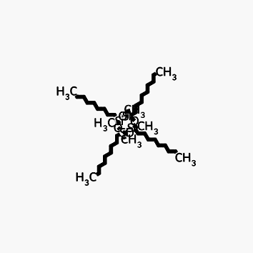 CCCCCCCCC[Si]1(C)O[Si](C)(CCCCCCCCC)O[Si](C)(CCCCCCCCC)O[Si](C)(CCCCCCCCC)O1